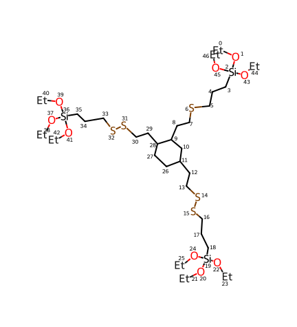 CCO[Si](CCCSCCC1CC(CCSSCCC[Si](OCC)(OCC)OCC)CCC1CCSSCCC[Si](OCC)(OCC)OCC)(OCC)OCC